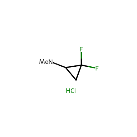 CNC1CC1(F)F.Cl